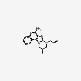 C=CCN1CC(C)Cn2c1nc1c(N)nc3ccccc3c12